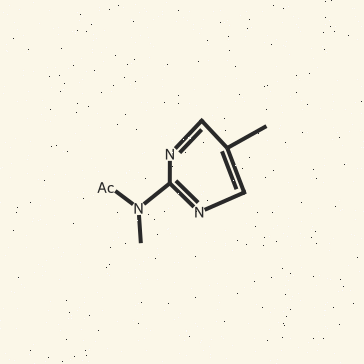 CC(=O)N(C)c1ncc(C)cn1